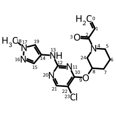 C=CC(=O)N1CCCC(Oc2nc(Nc3cnn(C)c3)ncc2Cl)C1